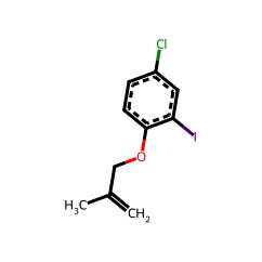 C=C(C)COc1ccc(Cl)cc1I